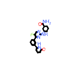 NC(=O)C1CCCC(Nc2ncc(F)c(-c3cccc(-c4cccc(=O)[nH]4)c3)n2)C1